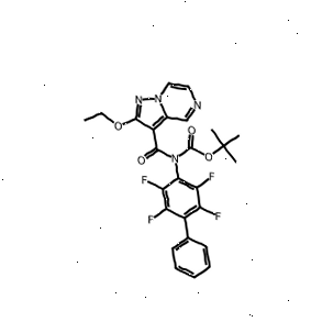 CCOc1nn2ccncc2c1C(=O)N(C(=O)OC(C)(C)C)c1c(F)c(F)c(-c2ccccc2)c(F)c1F